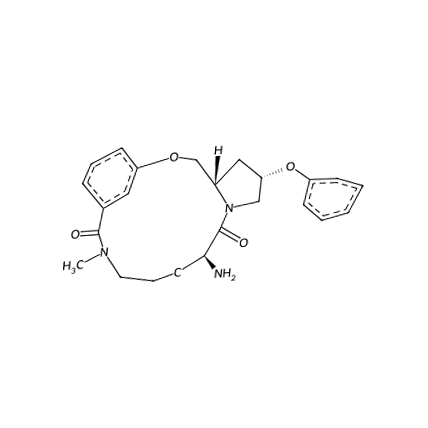 CN1CCC[C@H](N)C(=O)N2C[C@@H](Oc3ccccc3)C[C@H]2COc2cccc(c2)C1=O